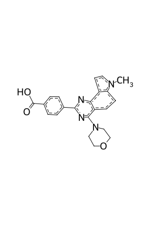 Cn1ccc2c3nc(-c4ccc(C(=O)O)cc4)nc(N4CCOCC4)c3ccc21